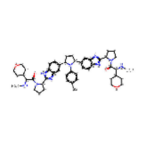 CC(C)(C)c1ccc(N2[C@@H](c3ccc4[nH]c(C5CCCN5C(=O)C(NC(=O)O)C5CCOCC5)nc4c3)CC[C@H]2c2ccc3[nH]c(C4CCCN4C(=O)[C@@H](NC(=O)O)C4CCOCC4)nc3c2)cc1